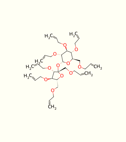 C=CCOC[C@H]1O[C@@](COCC=C)(O[C@H]2O[C@H](COCC=C)[C@@H](OCC=C)[C@H](OCC=C)[C@H]2OCC=C)[C@@H](OCC=C)[C@@H]1OCC=C